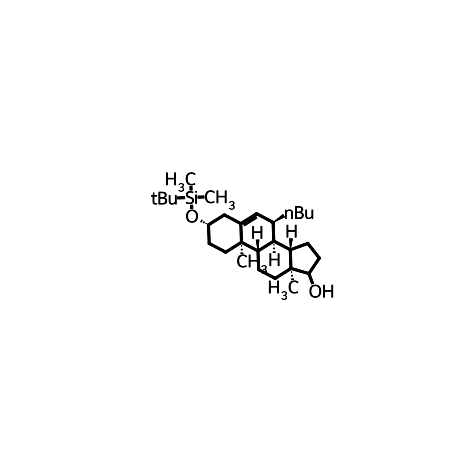 CCCC[C@@H]1C=C2C[C@@H](O[Si](C)(C)C(C)(C)C)CC[C@]2(C)[C@H]2CC[C@]3(C)C(O)CC[C@H]3[C@H]12